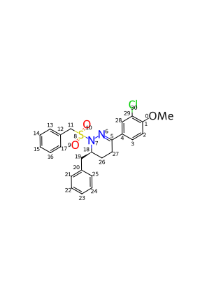 COc1ccc(C2=NN(S(=O)(=O)Cc3ccccc3)[C@H](Cc3ccccc3)CC2)cc1Cl